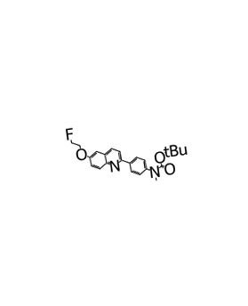 CN(C(=O)OC(C)(C)C)c1ccc(-c2ccc3cc(OCCF)ccc3n2)cc1